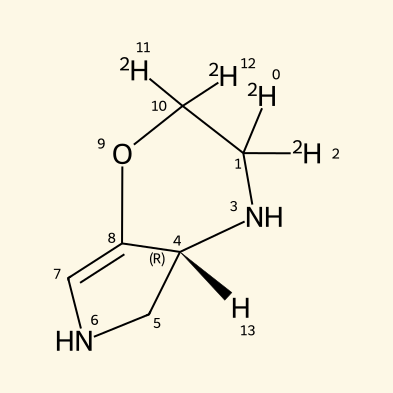 [2H]C1([2H])N[C@@H]2CNC=C2OC1([2H])[2H]